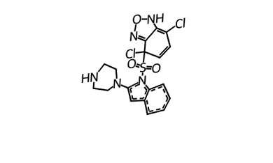 O=S(=O)(n1c(N2CCNCC2)cc2ccccc21)C1(Cl)C=CC(Cl)=C2NON=C21